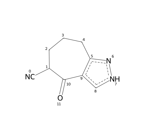 N#CC1CCCc2n[nH]cc2C1=O